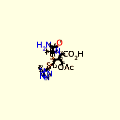 CC(=O)OCC1=C(C(=O)O)N2C(=O)[C@@H](N)[C@H]2SC1CSc1nnnn1C